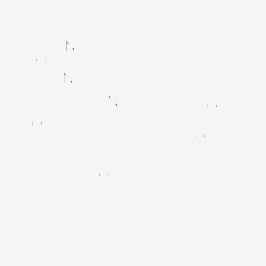 CN(C)C(=O)N1Cc2c(c3cc(OCc4ccccc4)ccc3n2Cc2ccc(C(=O)OC(C)(C)C)cc2)C(C=O)C1